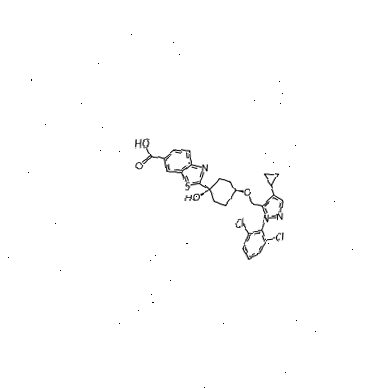 O=C(O)c1ccc2nc([C@]3(O)CC[C@@H](OCc4c(C5CC5)cnn4-c4c(Cl)cccc4Cl)CC3)sc2c1